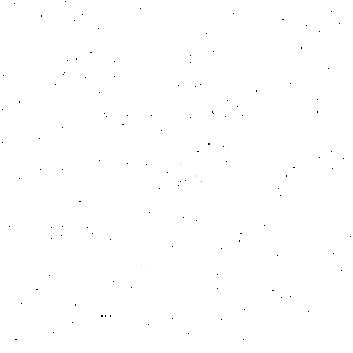 O=C1Nc2ccc(Cl)cc2C(C#Cc2cccnc2)(C2CC2)N1